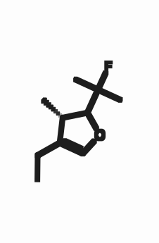 CCC1=COC(C(C)(C)F)[C@H]1C